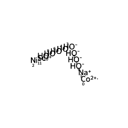 [Co+2].[Na+].[Ni+2].[OH-].[OH-].[OH-].[OH-].[OH-].[OH-].[OH-].[OH-].[Sc+3]